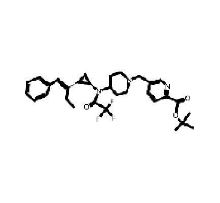 CC/C(=C\c1ccccc1)[C@@H]1C[C@H]1N(C(=O)C(F)(F)F)C1CCN(Cc2ccc(C(=O)OC(C)(C)C)nc2)CC1